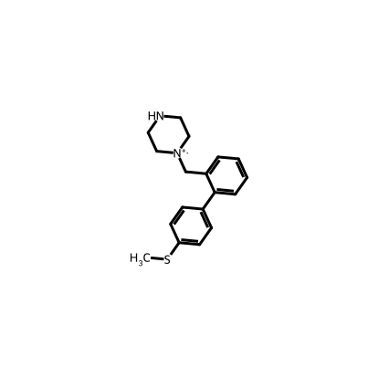 CSc1ccc(-c2ccccc2C[N+]2CCNCC2)cc1